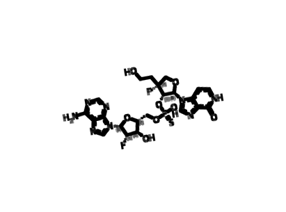 Nc1ncnc2c1ncn2[C@@H]1O[C@H](COP(O)(=S)O[C@H]2[C@H](n3cnc4c(=O)[nH]ccc43)OC[C@]2(F)CCO)[C@@H](O)[C@@H]1F